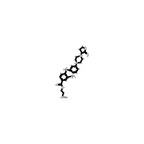 COCCOC(=O)c1ccc(Nc2cccc(N3CCN(C4CCOC4=O)CC3)c2)c(N)c1